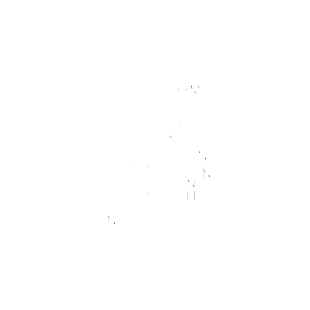 COc1cc(-c2nn[nH]c2-c2ccc3ccncc3c2)cc(C)c1C